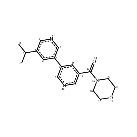 CC(C)c1cncc(-c2cncc(C(=O)N3CCOCC3)c2)c1